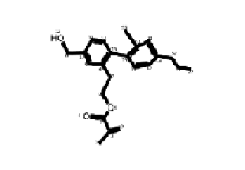 C=C(C)C(=O)OCCc1cc(CO)ccc1-c1ccc(CCC)cc1C